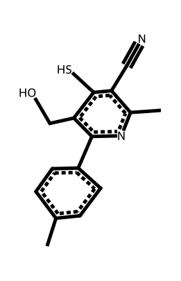 Cc1ccc(-c2nc(C)c(C#N)c(S)c2CO)cc1